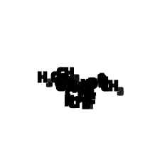 CN1CCC[C@H]1COc1nc(N2CCN(C(=O)OC(C)(C)C)C(CC#N)C2)c2cc(Cl)c(Br)c(F)c2n1